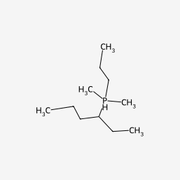 CCCC(CC)[PH](C)(C)CCC